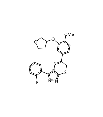 COc1ccc(C2=Nn3c(nnc3-c3ccccc3F)SC2)cc1OC1CCOC1